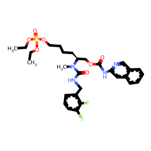 CCOP(=O)(OCC)OCCCC[C@@H](COC(=O)Nc1cc2ccccc2cn1)N(C)C(=O)NCc1cccc(F)c1F